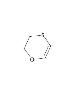 [C]1=COCCS1